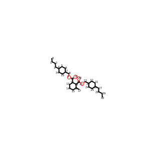 CCCCC1CCC(COC(=O)C2CCCC(C)C2C(=O)OCC2CCC(CCCC)CC2)CC1